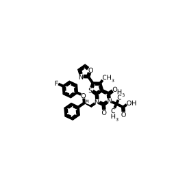 Cc1c(-c2ncco2)sc2c1c(=O)n(C(C)(C)C(=O)O)c(=O)n2C[C@H](Oc1ccc(F)cc1)c1ccccc1